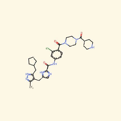 O=C(Nc1ccc(C(=O)N2CCN(C(=O)C3CCNCC3)CC2)c(Cl)c1)c1ncc(Cc2c(C(F)(F)F)n[nH]c2CC2CCCC2)[nH]1